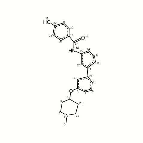 CN1CCC(Oc2cccc(-c3cccc(NC(=O)c4ccc(O)cc4)c3)c2)CC1